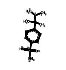 CN(C)C(C)(C)c1ccc(S(=N)(N)=O)cc1